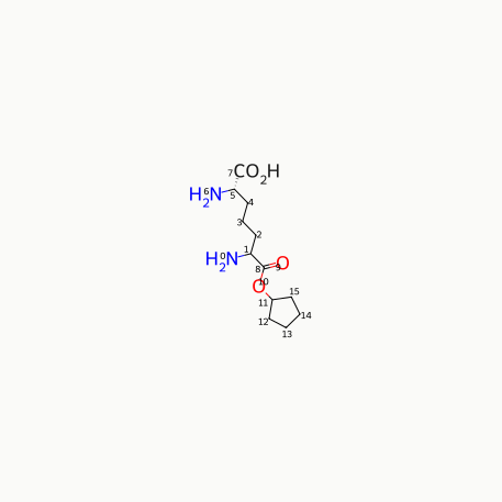 NC(CCC[C@H](N)C(=O)O)C(=O)OC1CCCC1